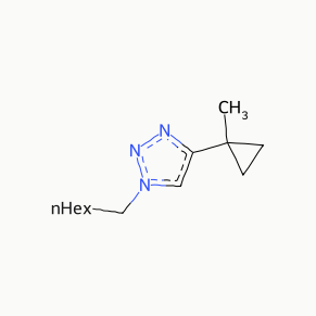 CCCCCCCn1cc(C2(C)CC2)nn1